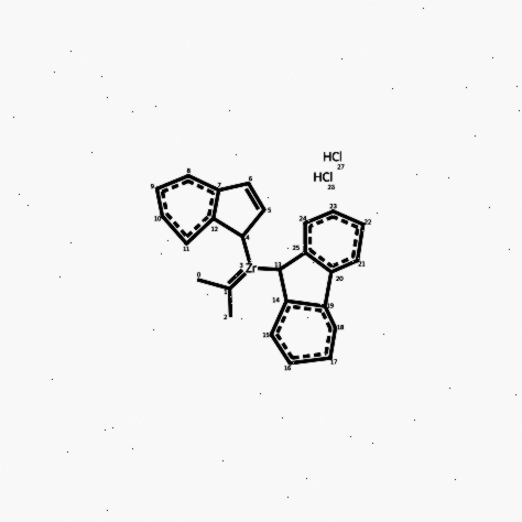 C[C](C)=[Zr]([CH]1C=Cc2ccccc21)[CH]1c2ccccc2-c2ccccc21.Cl.Cl